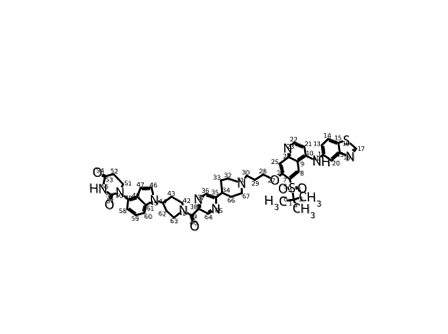 CC(C)(C)S(=O)(=O)c1cc2c(Nc3ccc4scnc4c3)ccnc2cc1OCCCN1CCC(c2cnc(C(=O)N3CCC(n4ccc5c(N6CCC(=O)NC6=O)cccc54)CC3)cn2)CC1